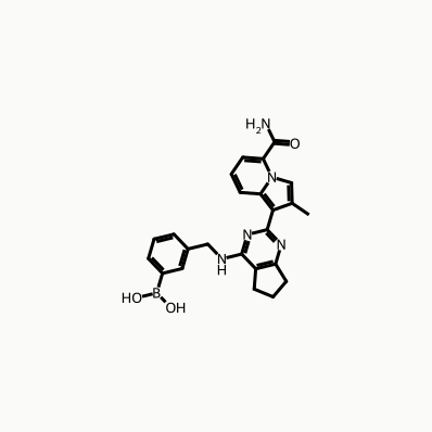 Cc1cn2c(C(N)=O)cccc2c1-c1nc2c(c(NCc3cccc(B(O)O)c3)n1)CCC2